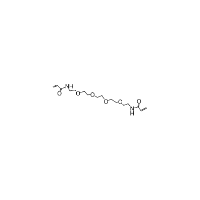 C=CC(=O)NCCOCCOCCOCCOCCNC(=O)C=C